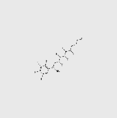 CCCCP(CC(F)C(F)C(F)C(F)C(F)CCCF)c1cc(F)c(F)c(F)c1F